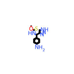 COC(=S)NC(c1ccc(N)cc1)c1c[nH]nn1